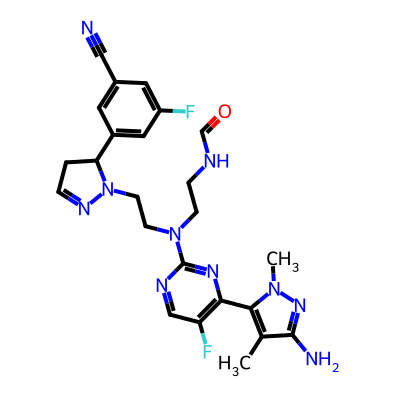 Cc1c(N)nn(C)c1-c1nc(N(CCNC=O)CCN2N=CCC2c2cc(F)cc(C#N)c2)ncc1F